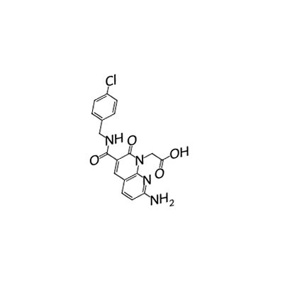 Nc1ccc2cc(C(=O)NCc3ccc(Cl)cc3)c(=O)n(CC(=O)O)c2n1